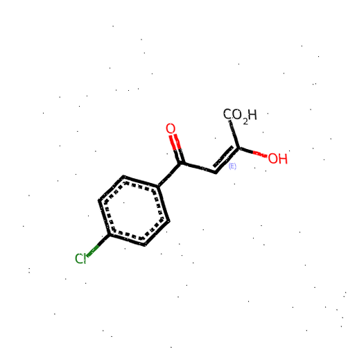 O=C(O)/C(O)=C\C(=O)c1ccc(Cl)cc1